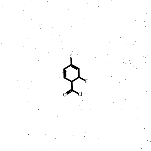 O=C(Cl)C1C=CC(Cl)=CC1F